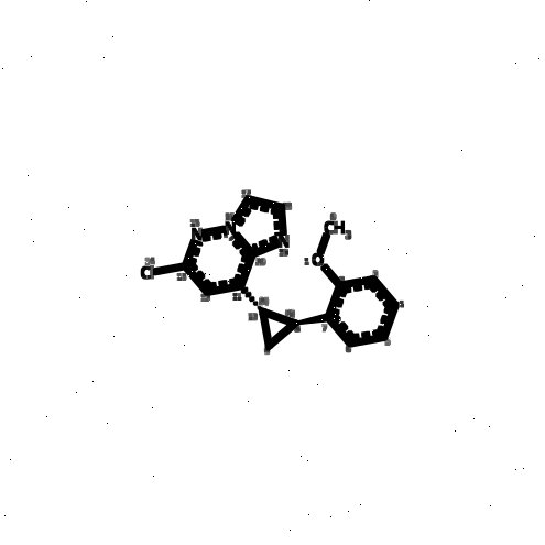 COc1ccccc1[C@H]1C[C@@H]1c1cc(Cl)nn2ccnc12